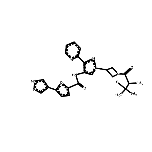 CC(C(=O)N1CC(n2cc(NC(=O)c3ccc(-c4cn[nH]c4)o3)c(-c3ccccn3)n2)C1)C(C)(F)P